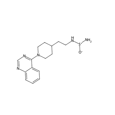 N[S+]([O-])NCCC1CCN(c2ncnc3ccccc23)CC1